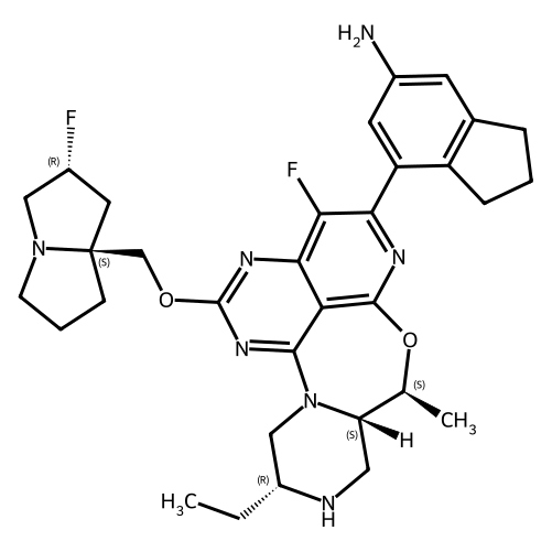 CC[C@@H]1CN2c3nc(OC[C@@]45CCCN4C[C@H](F)C5)nc4c(F)c(-c5cc(N)cc6c5CCC6)nc(c34)O[C@@H](C)[C@@H]2CN1